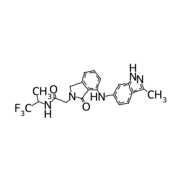 Cc1n[nH]c2cc(Nc3cccc4c3C(=O)N(CC(=O)NC(C)C(F)(F)F)C4)ccc12